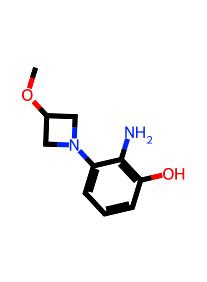 COC1CN(c2cccc(O)c2N)C1